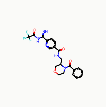 N=C(NC(=O)C(F)(F)F)c1ccc(C(=O)NCC2COCCN2C(=O)c2ccccc2)cn1